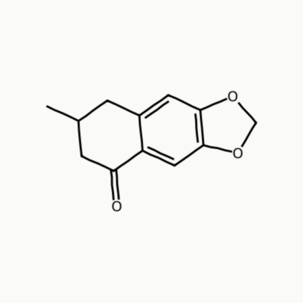 CC1CC(=O)c2cc3c(cc2C1)OCO3